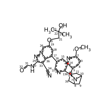 COc1ccc(CN2C3CC2CN(c2ccc(-c4cc(OCC(C)(C)O)cn5nc(NC=O)c(C#N)c45)cn2)C3)cn1